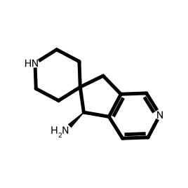 N[C@@H]1c2ccncc2CC12CCNCC2